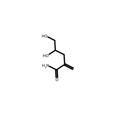 C=C(CC(O)CO)C(N)=O